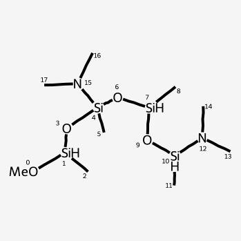 CO[SiH](C)O[Si](C)(O[SiH](C)O[SiH](C)N(C)C)N(C)C